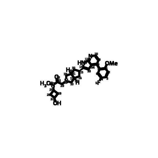 COc1ccc(F)cc1-c1ccnc2[nH]c([C@H]3C[C@@H]4CN(CC(=O)N(C)C5CC(O)C5)C[C@@H]4C3)cc12